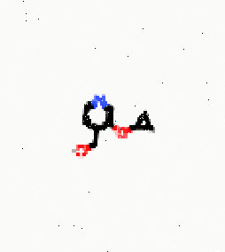 [O]Cc1ccncc1OC1CC1